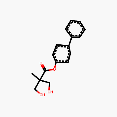 CC(CO)(CO)C(=O)Oc1ccc(-c2ccccc2)cc1